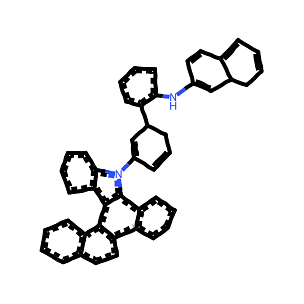 C1=CCC2C=C(Nc3ccccc3C3C=C(n4c5ccccc5c5c6c7ccccc7ccc6c6ccccc6c54)C=CC3)C=CC2=C1